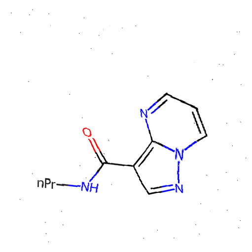 CCCNC(=O)c1cnn2cccnc12